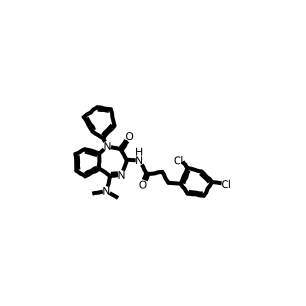 CN(C)C1=NC(NC(=O)CCc2ccc(Cl)cc2Cl)C(=O)N(c2ccccc2)c2ccccc21